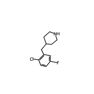 Fc1ccc(Cl)c(CC2CCNCC2)c1